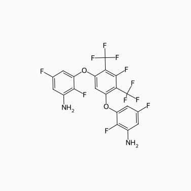 Nc1cc(F)cc(Oc2cc(Oc3cc(F)cc(N)c3F)c(C(F)(F)F)c(F)c2C(F)(F)F)c1F